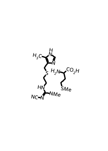 CN/C(=N/C#N)NCCSCc1nc[nH]c1C.CSCCC(N)C(=O)O